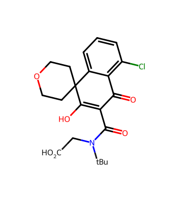 CC(C)(C)N(CC(=O)O)C(=O)C1=C(O)C2(CCOCC2)c2cccc(Cl)c2C1=O